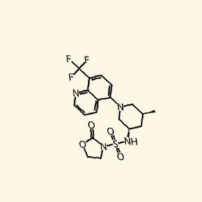 C[C@H]1C[C@@H](NS(=O)(=O)N2CCOC2=O)CN(c2ccc(C(F)(F)F)c3ncccc23)C1